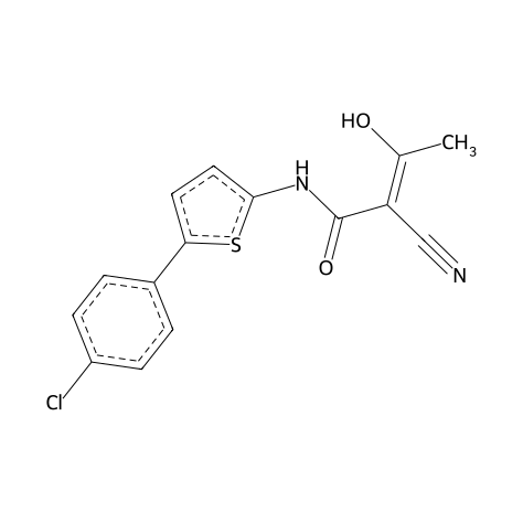 CC(O)=C(C#N)C(=O)Nc1ccc(-c2ccc(Cl)cc2)s1